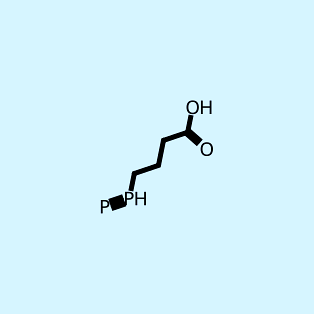 O=C(O)CCC[PH]#P